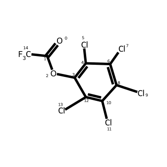 O=C(Oc1c(Cl)c(Cl)c(Cl)c(Cl)c1Cl)C(F)(F)F